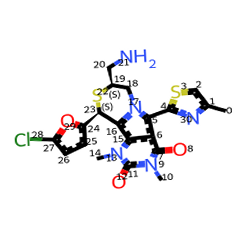 Cc1csc(-c2c3c(=O)n(C)c(=O)n(C)c3c3n2C[C@H](CN)S[C@@H]3c2ccc(Cl)o2)n1